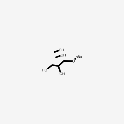 CCCCOCC(O)CO.CO.CO